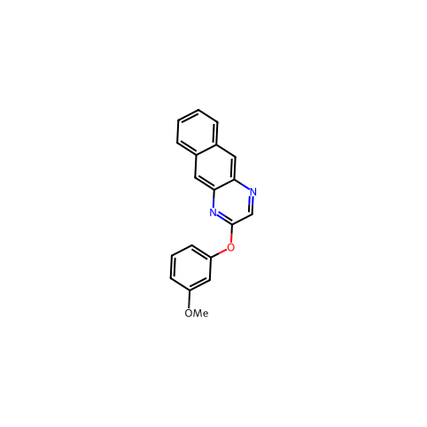 COc1cccc(Oc2cnc3cc4ccccc4cc3n2)c1